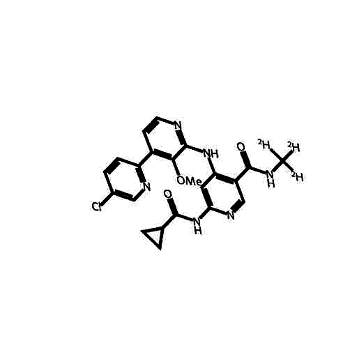 [2H]C([2H])([2H])NC(=O)c1cnc(NC(=O)C2CC2)cc1Nc1nccc(-c2ccc(Cl)cn2)c1OC